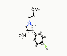 COCCN1C[C@@H]([N+](=O)[O-])[C@H](c2ccc(F)cc2)C1